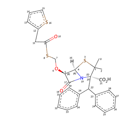 CC1(C)S[C@@H]2[C@H](OCSC(=O)Cc3cccs3)C(=O)N2[C@]1(C(=O)O)C(c1ccccc1)c1ccccc1